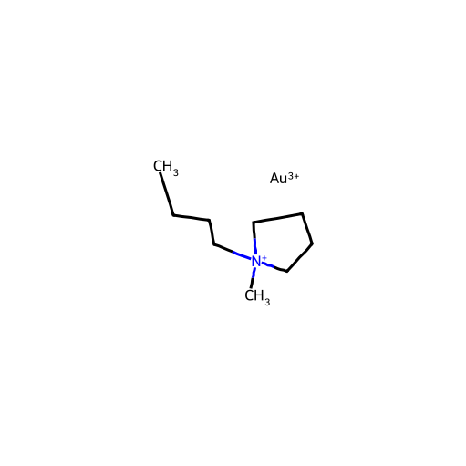 CCCC[N+]1(C)CCCC1.[Au+3]